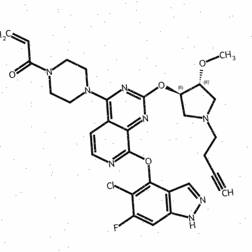 C#CCCN1C[C@@H](OC)[C@H](Oc2nc(N3CCN(C(=O)C=C)CC3)c3ccnc(Oc4c(Cl)c(F)cc5[nH]ncc45)c3n2)C1